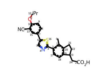 Cc1c(-c2ncc(-c3ccc(OC(C)C)c(C#N)c3)s2)ccc2c1CCC2CC(=O)O